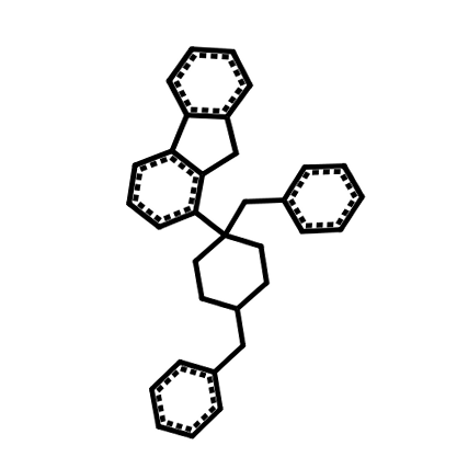 c1ccc(CC2CCC(Cc3ccccc3)(c3cccc4c3Cc3ccccc3-4)CC2)cc1